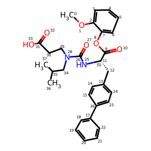 COc1ccccc1OC(=O)[C@H](Cc1ccc(-c2ccccc2)cc1)NC(=O)N(CCC(=O)O)CC(C)C